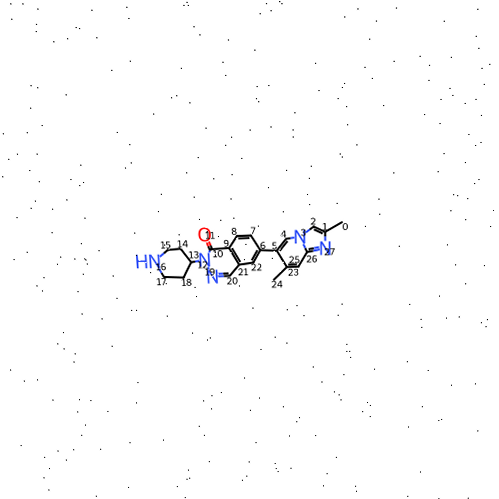 Cc1cn2cc(-c3ccc4c(=O)n(C5CCNCC5)ncc4c3)c(C)cc2n1